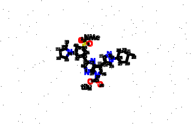 CNS(=O)(=O)c1cc(-c2cnc3c(n2)c(-c2cnn(C4CCC(C)CC4)c2)cn3C(=O)OC(C)(C)C)cc(N2CCCC2C)c1